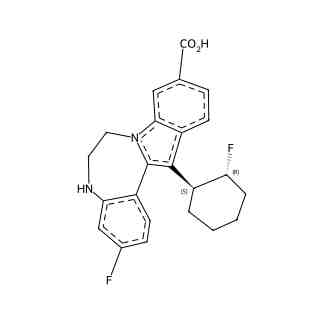 O=C(O)c1ccc2c([C@@H]3CCCC[C@H]3F)c3n(c2c1)CCNc1cc(F)ccc1-3